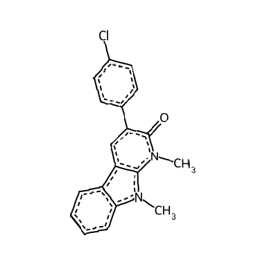 Cn1c(=O)c(-c2ccc(Cl)cc2)cc2c3ccccc3n(C)c21